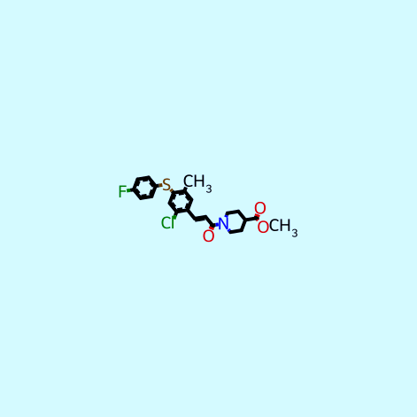 COC(=O)C1CCN(C(=O)/C=C/c2cc(C)c(Sc3ccc(F)cc3)cc2Cl)CC1